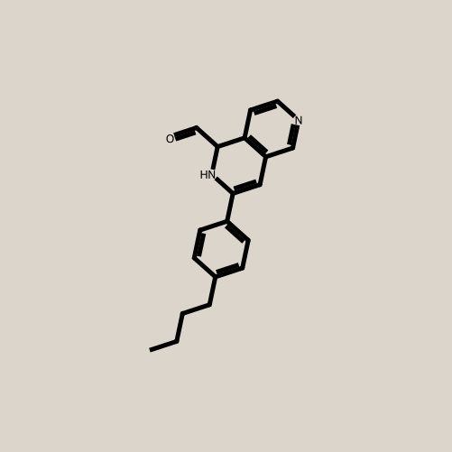 CCCCc1ccc(C2=Cc3cnccc3C(C=O)N2)cc1